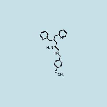 COc1ccc(CN/C=C(\N)CN(Cc2ccccn2)Cc2ccccn2)cc1